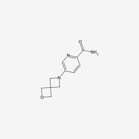 NC(=O)c1ccc(N2CC3(COC3)C2)cn1